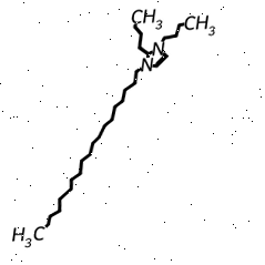 CCCCCCCCCCCCCCCCCCCN1C=CN(CCCC)C1CCCC